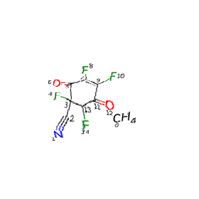 C.N#CC1(F)C(=O)C(F)=C(F)C(=O)C1F